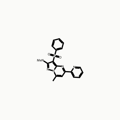 CNc1nn2c(C)cc(-c3ccccn3)nc2c1S(=O)(=O)c1ccccc1